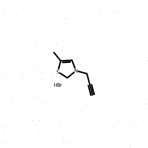 Br.C#CCN1C=C(C)SC1